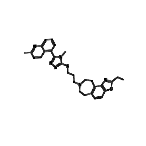 CCc1nc2c3c(ccc2o1)CCN(CCCSc1nnc(-c2cccc4nc(C)ccc24)n1C)CC3